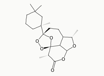 C[C@@H]1OC2OC(=O)[C@H](C)[C@@]34OO[C@@]([C@@]5(C)CCCC(C)(C)C5)(CCC1C23)O4